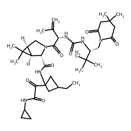 C=C(C)[C@H](NC(=O)N[C@H](CN1C(=O)CC(C)(C)CC1=O)C(C)(C)C)C(=O)N1C[C@H]2[C@@H]([C@H]1C(=O)NC1(C(=O)C(=O)NC3CC3)CC(CC)C1)C2(C)C